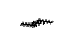 CCC[CH]CC(F)Cc1ccc(-c2ncc(CCCCCCC)cn2)cc1